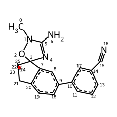 CN1OC2(N=C1N)c1cc(-c3cccc(C#N)c3)ccc1CC21CCCC1